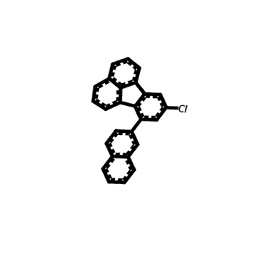 Clc1cc(-c2ccc3ccccc3c2)c2c(c1)-c1cccc3cccc-2c13